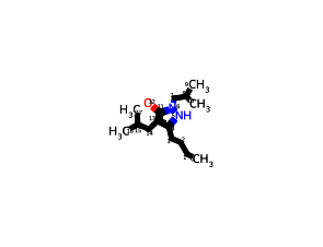 CCCCc1[nH]n(CC(C)C)c(=O)c1CC(C)C